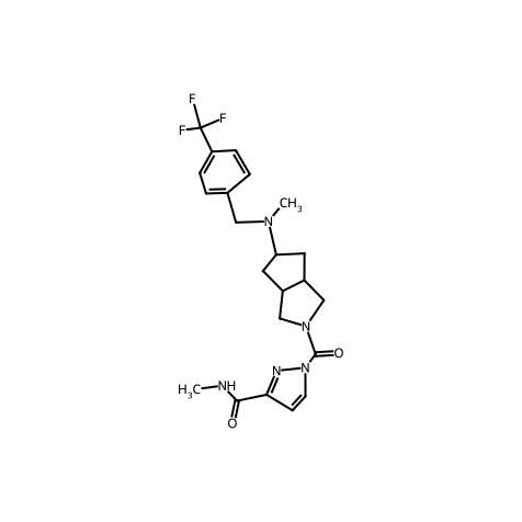 CNC(=O)c1ccn(C(=O)N2CC3CC(N(C)Cc4ccc(C(F)(F)F)cc4)CC3C2)n1